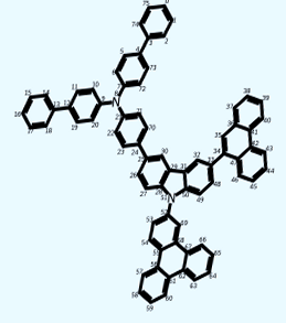 c1ccc(-c2ccc(N(c3ccc(-c4ccccc4)cc3)c3ccc(-c4ccc5c(c4)c4cc(-c6cc7ccccc7c7ccccc67)ccc4n5-c4ccc5c6ccccc6c6ccccc6c5c4)cc3)cc2)cc1